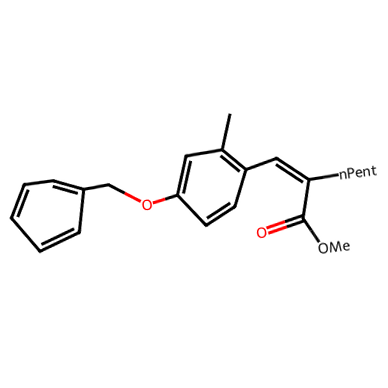 CCCCC/C(=C/c1ccc(OCc2ccccc2)cc1C)C(=O)OC